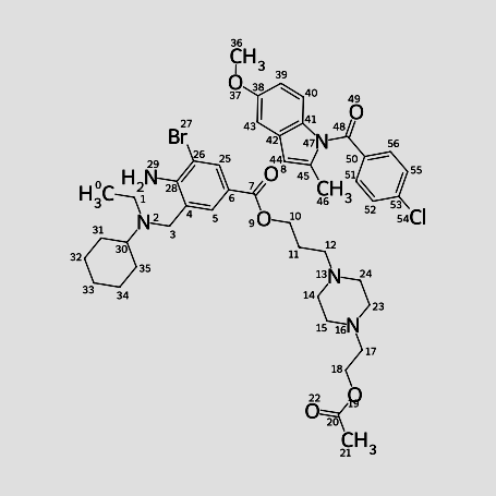 CCN(Cc1cc(C(=O)OCCCN2CCN(CCOC(C)=O)CC2)cc(Br)c1N)C1CCCCC1.COc1ccc2c(c1)cc(C)n2C(=O)c1ccc(Cl)cc1